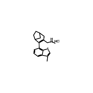 CNCC1=C(c2cccc3c(C)csc23)C2CCC(C1)C2.Cl